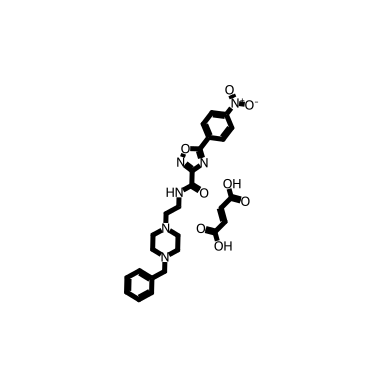 O=C(NCCN1CCN(Cc2ccccc2)CC1)c1noc(-c2ccc([N+](=O)[O-])cc2)n1.O=C(O)C=CC(=O)O